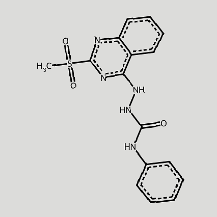 CS(=O)(=O)c1nc(NNC(=O)Nc2ccccc2)c2ccccc2n1